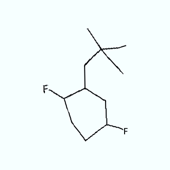 CC(C)(C)CC1CC(F)CCC1F